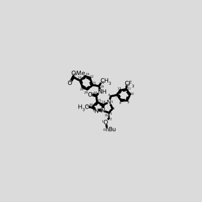 CCCCOC[C@@H]1CN(Cc2cccc(C(F)(F)F)c2)c2c(C(=O)NC(C)c3ccc(C(=O)OC)cc3)c(C)nn21